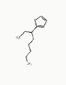 CCCCCC(CC)c1[c]ccs1